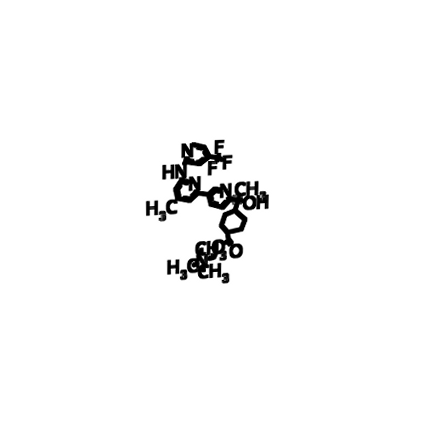 Cc1cc(Nc2cc(C(F)(F)F)ccn2)nc(-c2ccc([C@](C)(O)C3CCC(C(=O)OC[N+](C)(C)C)CC3)nc2)c1